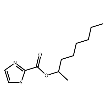 CCCCCCC(C)OC(=O)c1nccs1